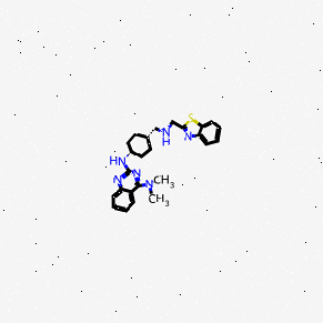 CN(C)c1nc(N[C@H]2CC[C@@H](CNCc3nc4ccccc4s3)CC2)nc2ccccc12